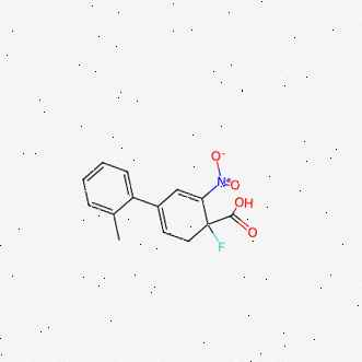 Cc1ccccc1C1=CCC(F)(C(=O)O)C([N+](=O)[O-])=C1